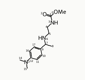 COC(=O)NCCNC(C)c1ccc(N(C)C)cc1